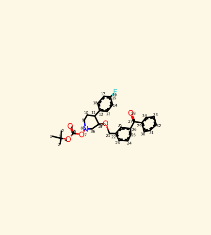 CC(C)(C)OC(=O)ON1CCC(c2ccc(F)cc2)C(OCc2cccc(C(=O)c3ccccc3)c2)C1